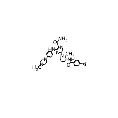 C[C@@H]1[C@H](NC(=O)c2ccc(C3CC3)cc2)CCCN1c1cnc(C2OC2N)c(Nc2ccc(N3CCN(C)CC3)cc2)n1